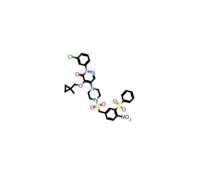 CC1(COc2c(N3CCN(S(=O)(=O)Cc4ccc([N+](=O)[O-])c(S(=O)(=O)c5ccccc5)c4)CC3)cnn(-c3cccc(Cl)c3)c2=O)CC1